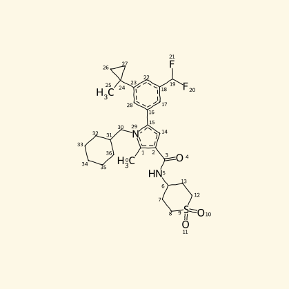 Cc1c(C(=O)NC2CCS(=O)(=O)CC2)cc(-c2cc(C(F)F)cc(C3(C)CC3)c2)n1CC1CCCCC1